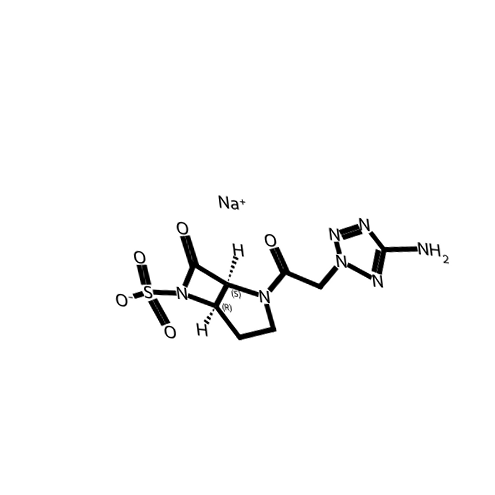 Nc1nnn(CC(=O)N2CC[C@@H]3[C@H]2C(=O)N3S(=O)(=O)[O-])n1.[Na+]